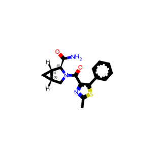 Cc1nc(C(=O)N2C[C@@H]3C[C@@H]3[C@H]2C(N)=O)c(-c2ccccc2)s1